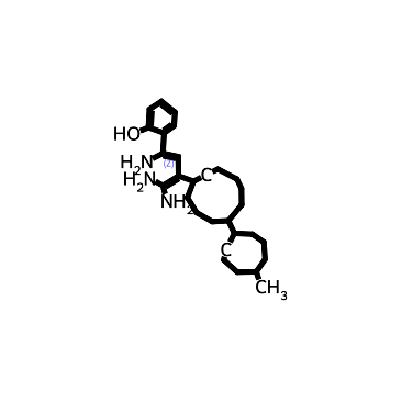 CC1CCCC(C2CCCCCC(C(/C=C(\N)c3ccccc3O)=C(N)N)CCC2)CCC1